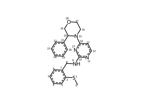 CSc1ccccc1CNc1nccc(N2CCOCC2c2ccccc2)n1